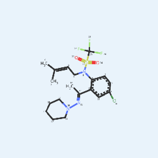 CC(C)=CCN(c1ccc(Cl)cc1C(C)=NN1CCCCC1)S(=O)(=O)C(F)(F)F